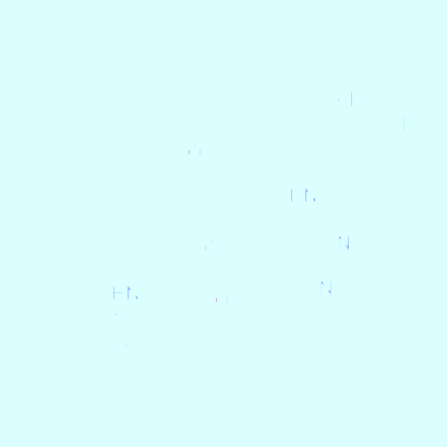 CC(C)CC(=O)NCCOc1cc2ncnc(Nc3ccc(F)c(Cl)c3)c2cc1OC1CCOCC1